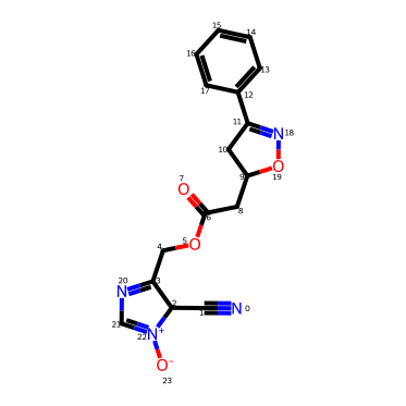 N#CC1C(COC(=O)CC2CC(c3ccccc3)=NO2)=NC=[N+]1[O-]